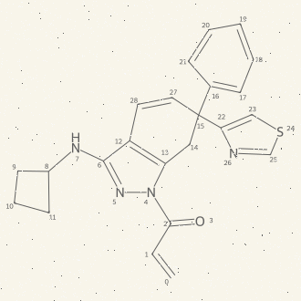 C=CC(=O)n1nc(NC2CCC2)c2c1CC(c1ccccc1)(c1cscn1)C=C2